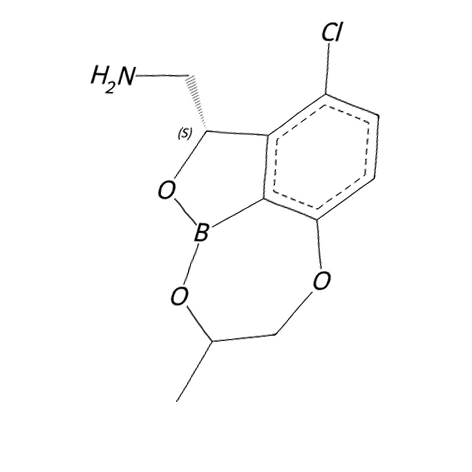 CC1COc2ccc(Cl)c3c2B(O1)O[C@@H]3CN